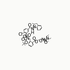 CCN(CC)[N+]([O-])=NOCOC(=O)c1ccccc1CN(C(=O)OC(C)(C)C)S(=O)(=O)c1cc(C(=O)NN2c3ccccc3CC2C)ccc1Cl